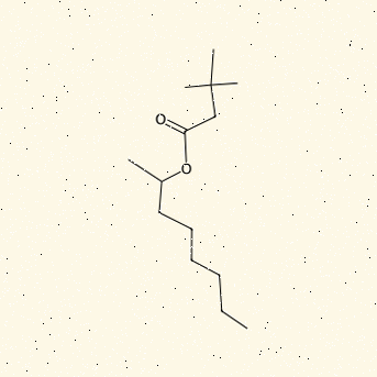 CCCCCCC(C)OC(=O)CC(C)(C)C